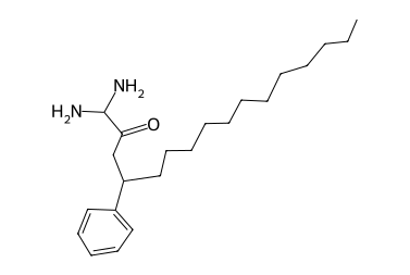 CCCCCCCCCCCCC(CC(=O)C(N)N)c1ccccc1